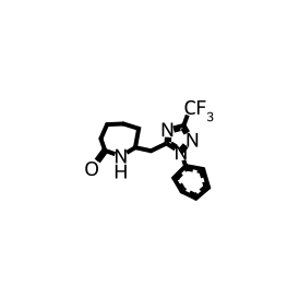 O=C1CCCCC(Cc2nc(C(F)(F)F)nn2-c2ccccc2)N1